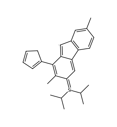 Cc1ccc2c(c1)[C]=c1c-2cc(=[Si](C(C)C)C(C)C)c(C)c1C1=CC=CC1